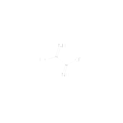 N=C(C(=N)C(F)(F)F)C(F)(F)F